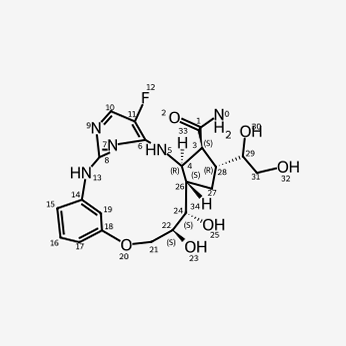 NC(=O)[C@@H]1[C@@H]2Nc3nc(ncc3F)Nc3cccc(c3)OC[C@H](O)[C@@H](O)[C@H]2C[C@H]1C(O)CO